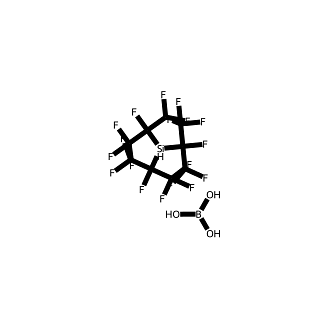 FC(F)C(F)([SiH](C(F)(C(F)F)C(F)(F)F)C(F)(C(F)F)C(F)(F)F)C(F)(F)F.OB(O)O